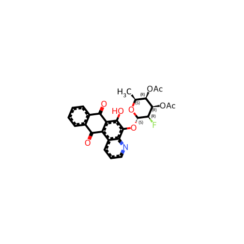 CC(=O)O[C@H]1[C@@H](F)[C@H](Oc2c(O)c3c(c4cccnc24)C(=O)c2ccccc2C3=O)O[C@@H](C)[C@H]1OC(C)=O